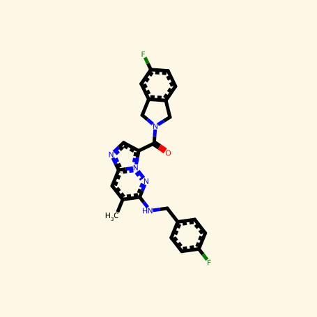 Cc1cc2ncc(C(=O)N3Cc4ccc(F)cc4C3)n2nc1NCc1ccc(F)cc1